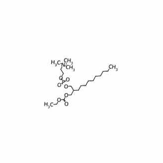 CCCCCCCCCCC(COC(=O)OCC)COP(=O)([O-])OCC[N+](C)(C)C